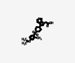 Cc1cc(OC(C)C)ccc1S(=O)(=O)N1CCC(c2cn(CC(=O)O)c3cnccc23)CC1